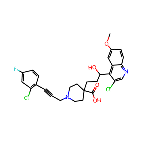 COc1ccc2ncc(Cl)c(C(O)CCC3(C(=O)O)CCN(CC#Cc4ccc(F)cc4Cl)CC3)c2c1